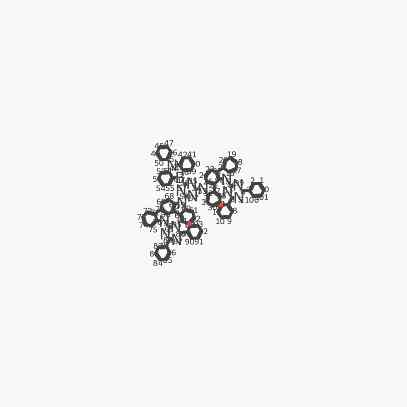 c1ccc(-c2nc(-c3ccccc3)nc(-n3c4ccccc4c4ccc5c(c6ccccc6n5-c5nc(B6c7ccccc7N(c7ccccc7)c7ccccc76)nc(-n6c7ccccc7c7c6ccc6c8ccccc8n(-c8nc(-c9ccccc9)nc(-c9ccccc9)n8)c67)n5)c43)n2)cc1